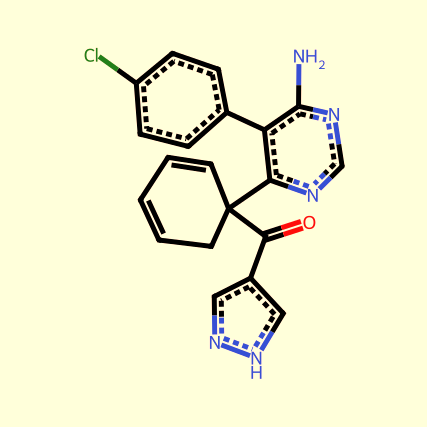 Nc1ncnc(C2(C(=O)c3cn[nH]c3)C=CC=CC2)c1-c1ccc(Cl)cc1